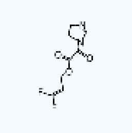 O=C(OCC=C(F)F)C(=O)N1C=NCC1